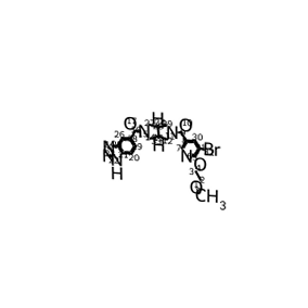 COCCOc1ncc(C(=O)N2C[C@@H]3CN(C(=O)c4ccc5[nH]nnc5c4)C[C@H]3C2)cc1Br